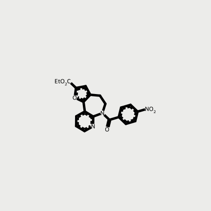 CCOC(=O)c1cc2c(o1)-c1cccnc1N(C(=O)c1ccc([N+](=O)[O-])cc1)CC2